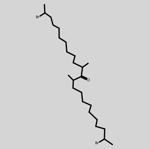 CC(Br)CCCCCCCCC(C)C(=O)C(C)CCCCCCCCC(C)Br